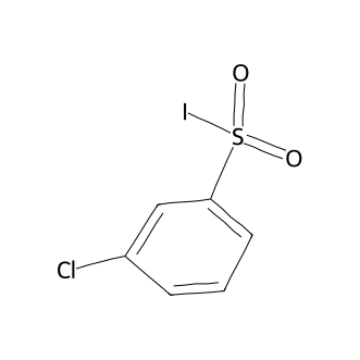 O=S(=O)(I)c1cccc(Cl)c1